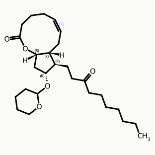 CCCCCCCC(=O)CC[C@@H]1[C@H]2C/C=C\CCCC(=O)O[C@H]2C[C@H]1OC1CCCCO1